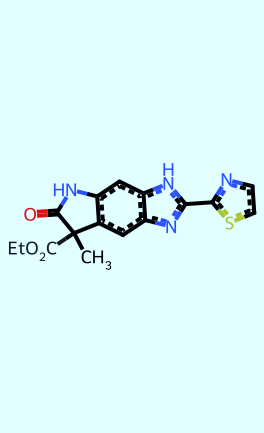 CCOC(=O)C1(C)C(=O)Nc2cc3[nH]c(-c4nccs4)nc3cc21